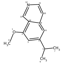 COc1cc(C(C)C)cc2ccncc12